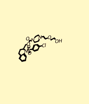 O=C(OCC1CCc2ccccc2N1S(=O)(=O)c1ccc(Cl)cc1)N1CCN(CCOCCO)CC1